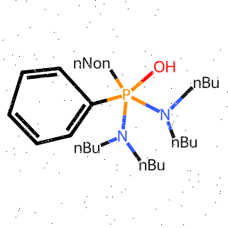 CCCCCCCCCP(O)(c1ccccc1)(N(CCCC)CCCC)N(CCCC)CCCC